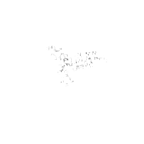 C/N=C\[C@@]1(c2ccc3c(N)ncnn23)O[C@H](COP(=O)(N[C@@H](C)C(=O)OC2CCCCC2)Oc2ccc(C(C)(C)C)cc2)[C@@H](OC(C)=O)[C@H]1OC(C)=O